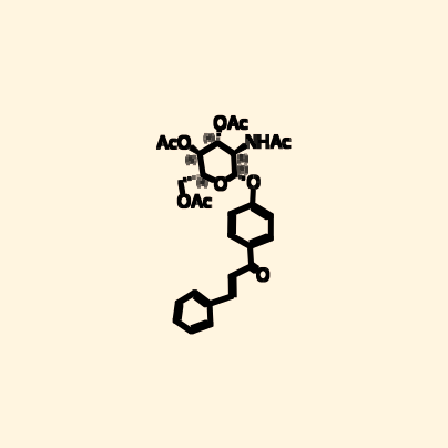 CC(=O)N[C@H]1[C@H](Oc2ccc(C(=O)C=Cc3ccccc3)cc2)O[C@H](COC(C)=O)[C@@H](OC(C)=O)[C@@H]1OC(C)=O